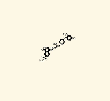 Cc1cc(Cl)ccc1OC1CCN(C[C@H](O)CNCc2c[nH]c(=O)c3cc(S(C)(=O)=O)ccc23)CC1